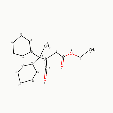 CCOC(=O)CC(=C=O)C(C)(C1CCCCC1)C1CCCCC1